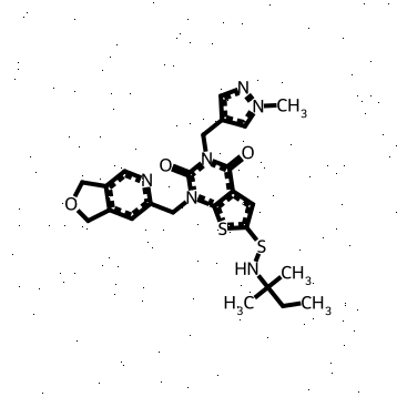 CCC(C)(C)NSc1cc2c(=O)n(Cc3cnn(C)c3)c(=O)n(Cc3cc4c(cn3)COC4)c2s1